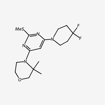 CSc1nc(N2CCC(F)(F)CC2)cc(N2CCOCC2(C)C)n1